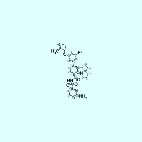 CC(C)COc1cc(F)cc(-c2ccc(C(=O)NS(=O)(=O)c3cccc(N)n3)c(N3CCCC34CCC4)n2)c1